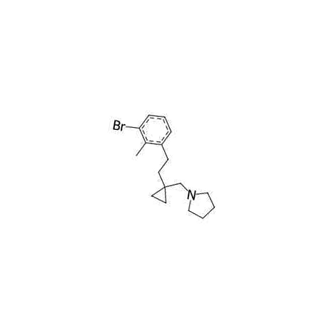 Cc1c(Br)cccc1CCC1(CN2CCCC2)CC1